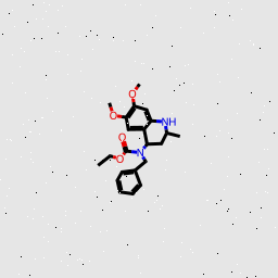 CCOC(=O)N(Cc1ccccc1)C1CC(C)Nc2cc(OC)c(OC)cc21